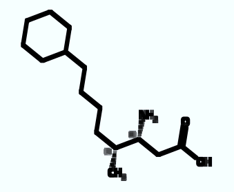 C[C@H](CCCCC1CCCCC1)[C@H](N)CC(=O)O